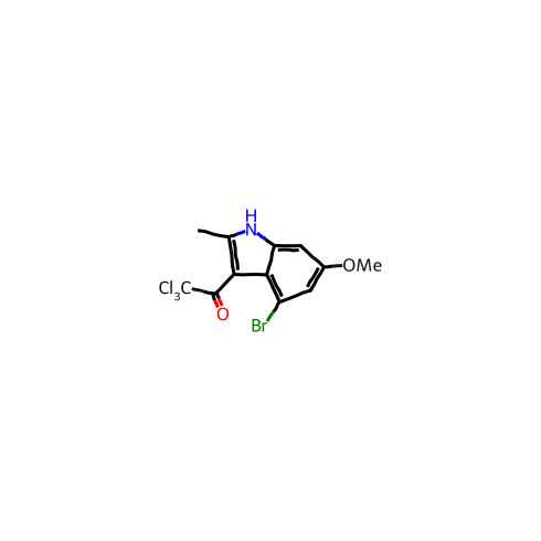 COc1cc(Br)c2c(C(=O)C(Cl)(Cl)Cl)c(C)[nH]c2c1